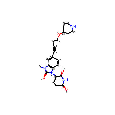 Cn1c(=O)n(C2CCC(=O)NC2=O)c2ccc(C#CCCOC3CCNCC3)cc21